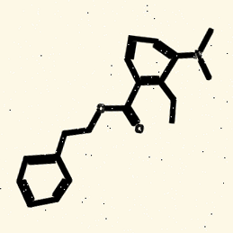 CCc1c(C(=O)OCCc2ccccc2)cccc1N(C)C